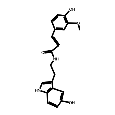 COc1cc(C=CC(=O)NCCc2c[nH]c3ccc(O)cc23)ccc1O